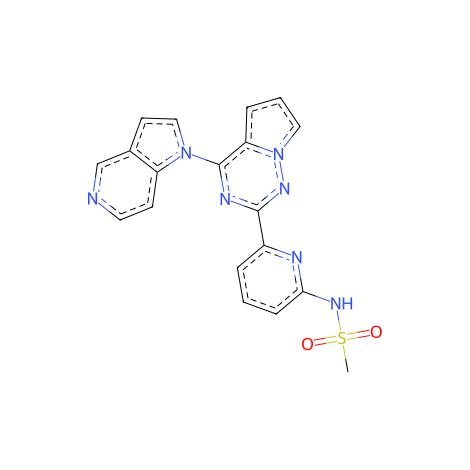 CS(=O)(=O)Nc1cccc(-c2nc(-n3ccc4cnccc43)c3cccn3n2)n1